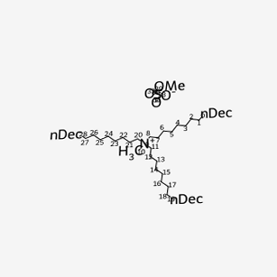 CCCCCCCCCCCCCCCCCC[N+](C)(CCCCCCCCCCCCCCCCCC)CCCCCCCCCCCCCCCCCC.COS(=O)(=O)[O-]